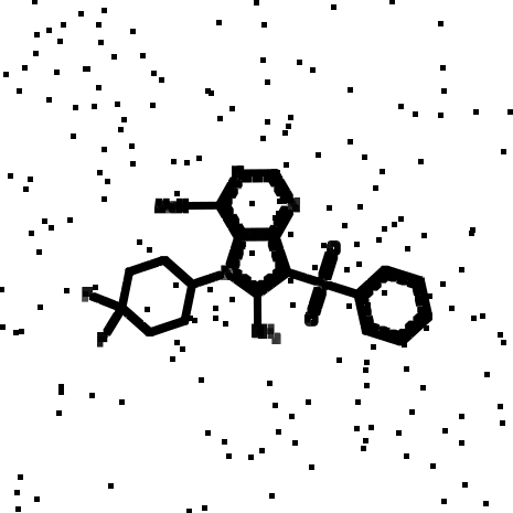 CNc1ncnc2c(S(=O)(=O)c3ccccc3)c(N)n(C3CCC(F)(F)CC3)c12